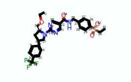 CCOC[C@@H]1CC(c2ccc(C(F)(F)F)cc2)CN1c1ncc(C(=O)NCc2ccc(S(=O)(=O)CC)cc2)cn1